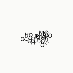 CC(C)C(N)C(=O)N1CCCC1C(=O)NCC(C)(C)C(C)C(=O)OCC(=O)[C@]12OC[C@@]13C[C@H](O)[C@@]1(F)[C@@H](CCC4=CC(=O)C=C[C@@]41C)[C@@H]3C[C@H]2C